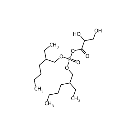 CCCCC(CC)COP(=O)(OCC(CC)CCCC)OC(=O)C(O)CO